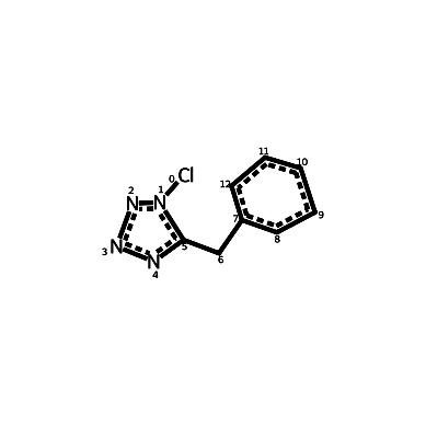 Cln1nnnc1Cc1ccccc1